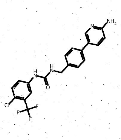 Nc1ccc(-c2ccc(CNC(=O)Nc3ccc(Cl)c(C(F)(F)F)c3)cc2)cn1